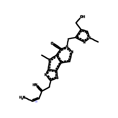 Cn1cc(CO)c(Cn2ncc3c4sc(CC(=N)/C=C\N)nc4n(C)c3c2=O)n1